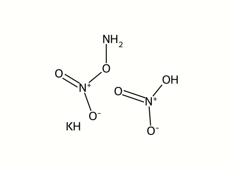 NO[N+](=O)[O-].O=[N+]([O-])O.[KH]